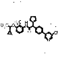 Cc1c(NC(=O)C(c2ccc(-c3cncc(C(F)(F)F)c3)cc2)C2CCCC2)cccc1OC(C(=O)O)C1CC1